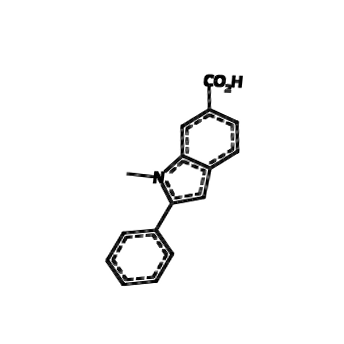 Cn1c(-c2ccccc2)cc2ccc(C(=O)O)cc21